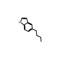 CCCCc1ccc2[se]ccc2c1